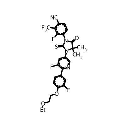 CCOCCOc1ccc(-c2ncc(N3C(=S)N(c4ccc(C#N)c(C(F)(F)F)c4F)C(=O)C3(C)C)cc2F)cc1F